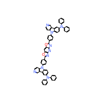 c1ccc(N(c2ccccc2)c2ccc3c(c2)c2cnccc2n3-c2ccc(-c3nc4nc5nc(-c6ccc(-n7c8ccncc8c8cc(N(c9ccccc9)c9ccccc9)ccc87)cc6)oc5cc4o3)cc2)cc1